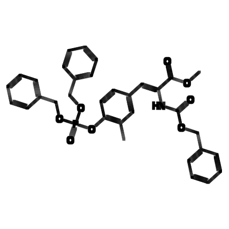 COC(=O)C(=Cc1ccc(OP(=O)(OCc2ccccc2)OCc2ccccc2)c(C)c1)NC(=O)OCc1ccccc1